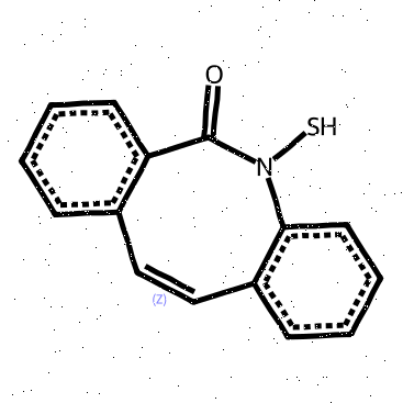 O=C1c2ccccc2/C=C\c2ccccc2N1S